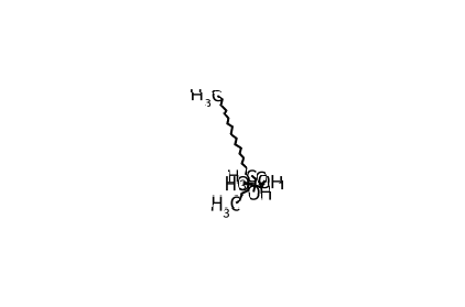 CCCCCCCCCCCCCCCCCCC(O)(CCCC)C(O)(CO)C(C)=O